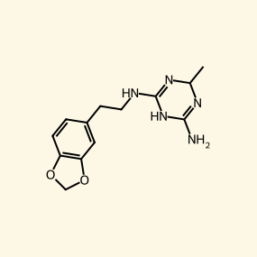 CC1N=C(N)NC(NCCc2ccc3c(c2)OCO3)=N1